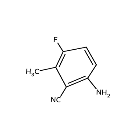 Cc1c(F)ccc(N)c1C#N